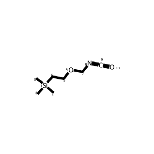 C[Si](C)(C)CCOCN=C=O